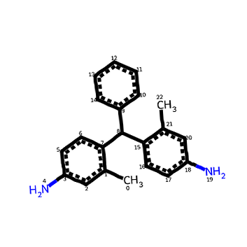 Cc1cc(N)ccc1C(c1ccccc1)c1ccc(N)cc1C